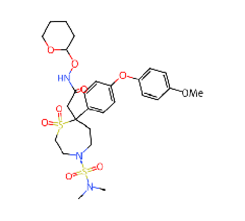 COc1ccc(Oc2ccc(C3(CC(=O)NOC4CCCCO4)CCN(S(=O)(=O)N(C)C)CCS3(=O)=O)cc2)cc1